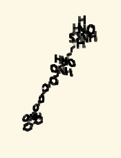 O=C(CCCC[C@@H]1SC[C@@H]2NC(=O)N[C@@H]21)NCCNC(=O)CCOCCOCCOCCOCCNC(=O)c1ccccc1-c1ccccc1